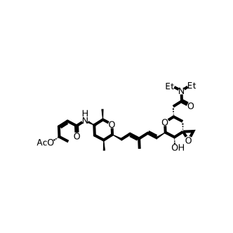 CCN(CC)C(=O)C[C@@H]1C[C@@]2(CO2)[C@H](O)[C@@H](/C=C/C(C)=C/C[C@@H]2O[C@H](C)[C@H](NC(=O)/C=C\[C@H](C)OC(C)=O)C[C@@H]2C)O1